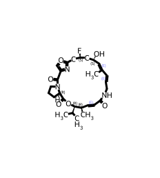 CC1=C\[C@@H](O)C[C@H](F)Cc2nc(co2)C(=O)N2CCC[C@@H]2C(=O)O[C@H](C(C)C)[C@H](C)/C=C/C(=O)NC\C=C\1